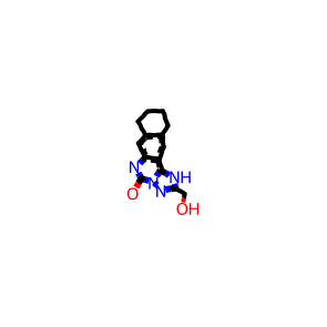 O=c1nc2cc3c(cc2c2[nH]c(CO)nn12)CCCC3